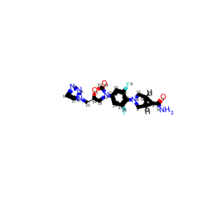 NC(=O)C1[C@H]2CN(c3c(F)cc(N4C[C@H](Cn5ccnn5)OC4=O)cc3F)C[C@@H]12